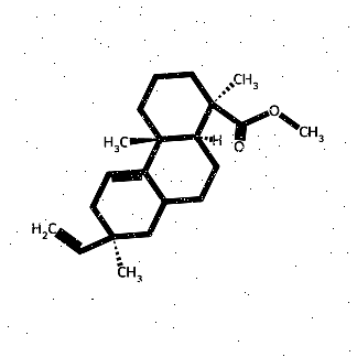 C=C[C@@]1(C)CC=C2C(CC[C@@H]3[C@](C)(C(=O)OC)CCC[C@@]23C)C1